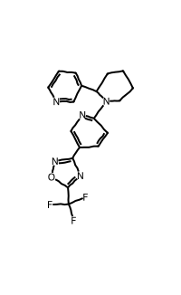 FC(F)(F)c1nc(-c2ccc(N3CCCCC3c3cccnc3)nc2)no1